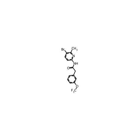 Cc1nc(NC(=O)Cc2cccc(OC(F)(F)F)c2)ccc1Br